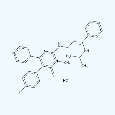 CC(C)N[C@H](CCNc1nc(-c2ccncc2)c(-c2ccc(F)cc2)c(=O)n1C)c1ccccc1.Cl